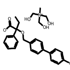 CCC(OCc1ccc(-c2ccc(Cl)cc2)cc1)(C(=O)[O-])c1ccccc1.C[N+](CO)(CO)CO